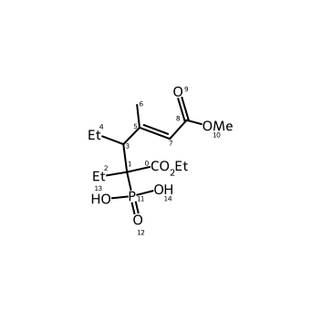 CCOC(=O)C(CC)(C(CC)C(C)=CC(=O)OC)P(=O)(O)O